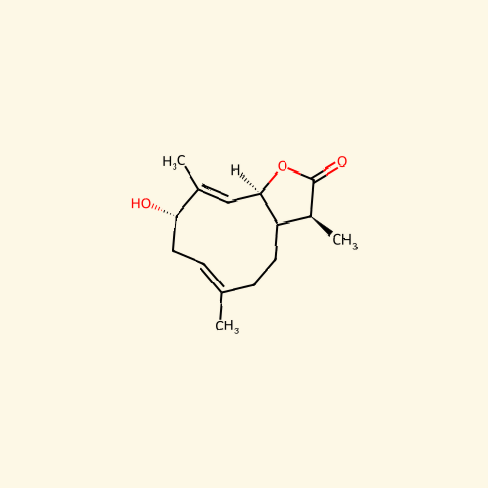 C/C1=C\C[C@H](O)/C(C)=C/[C@H]2OC(=O)[C@@H](C)C2CC1